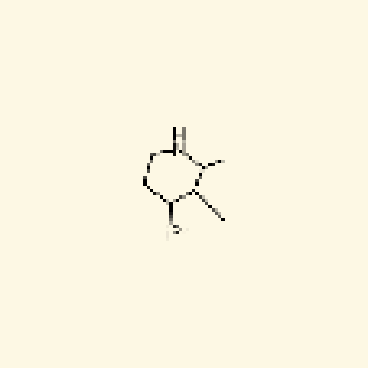 CC(C)C1CCNC(C)C1C